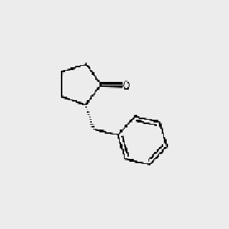 O=C1CCC[C@H]1Cc1ccccc1